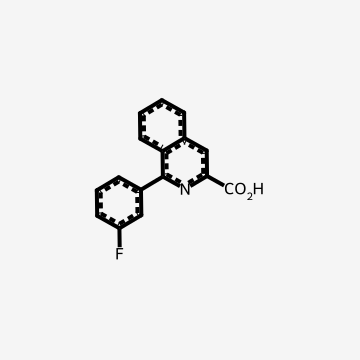 O=C(O)c1cc2ccccc2c(-c2cccc(F)c2)n1